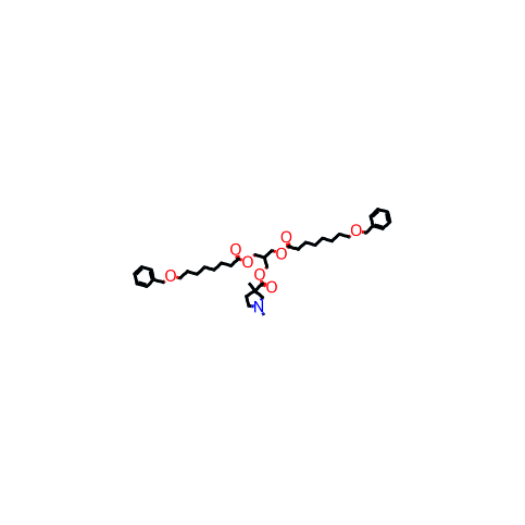 CN1CCC(C)(C(=O)OCC(COC(=O)CCCCCCCOCc2ccccc2)COC(=O)CCCCCCCOCc2ccccc2)C1